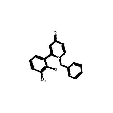 O=c1ccn(Cc2ccccc2)c(-c2cccc(C(F)(F)F)c2Cl)c1